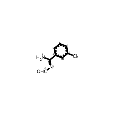 N/C(=N\C=O)c1cccc(Cl)c1